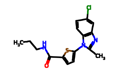 CCCNC(=O)c1ccc(-n2c(C)nc3cc(Cl)ccc32)s1